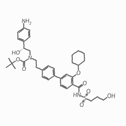 CC(C)(C)OC(=O)N(CCc1ccc(-c2ccc(C(=O)NS(=O)(=O)CCCO)c(OC3CCCCC3)c2)cc1)C[C@H](O)c1ccc(N)cc1